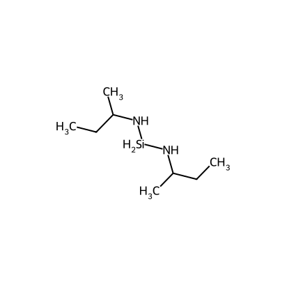 CCC(C)N[SiH2]NC(C)CC